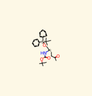 CC(=O)CC[C@@H](CO[Si](c1ccccc1)(c1ccccc1)C(C)(C)C)NC(=O)OC(C)(C)C